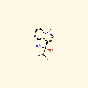 CC(C)C(N)(O)c1ccnc2ccccc12